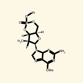 COC1=NC(N)=NC2C1=NCN2[C@@H]1O[C@@H]2COP(=O)(OC(C)C)O[C@H]2[C@@]1(C)F